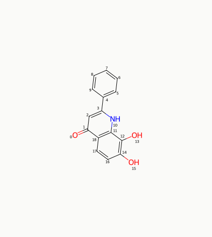 O=c1cc(-c2ccccc2)[nH]c2c(O)c(O)ccc12